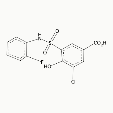 O=C(O)c1cc(Cl)c(O)c(S(=O)(=O)Nc2ccccc2F)c1